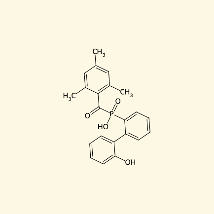 Cc1cc(C)c(C(=O)P(=O)(O)c2ccccc2-c2ccccc2O)c(C)c1